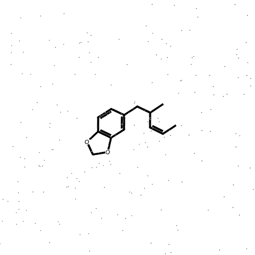 C/C=C\C(C)Cc1ccc2c(c1)OCO2